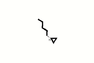 CCCCC[C@H]1[CH]C1